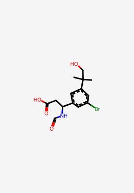 CC(C)(CO)c1cc(Br)cc(C(CC(=O)O)NC=O)c1